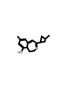 CC1=CC2=CC(C3CC(C)C3)=NCCC2C(O)=C1